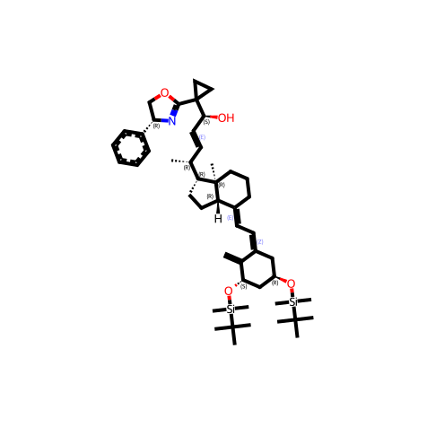 C=C1/C(=C\C=C2/CCC[C@]3(C)[C@@H]([C@H](C)/C=C/[C@H](O)C4(C5=N[C@H](c6ccccc6)CO5)CC4)CC[C@@H]23)C[C@@H](O[Si](C)(C)C(C)(C)C)C[C@@H]1O[Si](C)(C)C(C)(C)C